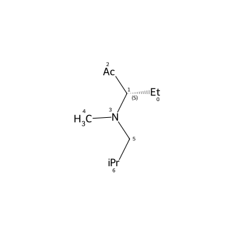 CC[C@@H](C(C)=O)N(C)CC(C)C